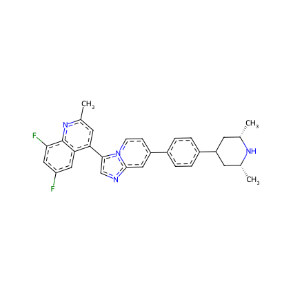 Cc1cc(-c2cnc3cc(-c4ccc(C5C[C@@H](C)N[C@@H](C)C5)cc4)ccn23)c2cc(F)cc(F)c2n1